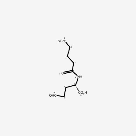 CCCCCCCCCCCC(=O)N[C@@H](CCC=O)C(=O)O